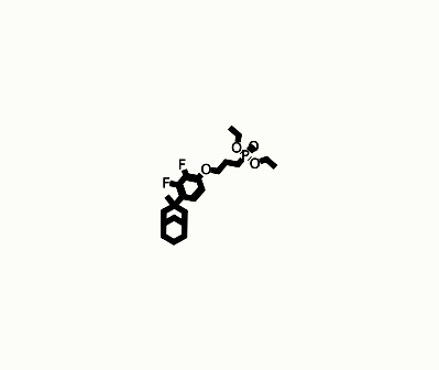 CCOP(=O)(CCCOc1ccc(C2(C)CC3CCCC(C3)C2)c(F)c1F)OCC